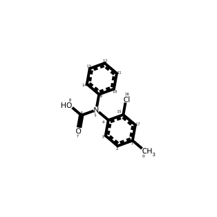 Cc1ccc(N(C(=O)O)c2ccccc2)c(Cl)c1